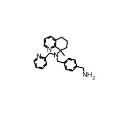 CC1(N(Cc2ccc(CN)cc2)Cc2ccccn2)CCCc2cccnc21